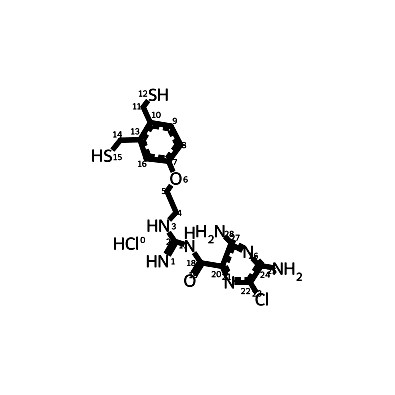 Cl.N=C(NCCOc1ccc(CS)c(CS)c1)NC(=O)c1nc(Cl)c(N)nc1N